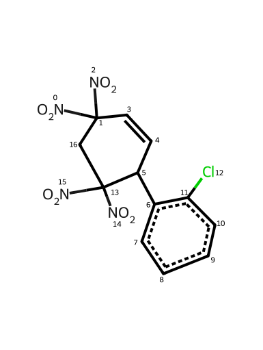 O=[N+]([O-])C1([N+](=O)[O-])C=CC(c2ccccc2Cl)C([N+](=O)[O-])([N+](=O)[O-])C1